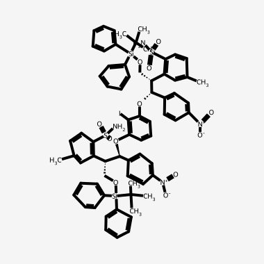 Cc1ccc(S(N)(=O)=O)c([C@@H](CO[Si](c2ccccc2)(c2ccccc2)C(C)(C)C)[C@@H](Oc2cccc(O[C@@H](c3ccc([N+](=O)[O-])cc3)[C@H](CO[Si](c3ccccc3)(c3ccccc3)C(C)(C)C)c3cc(C)ccc3S(N)(=O)=O)c2I)c2ccc([N+](=O)[O-])cc2)c1